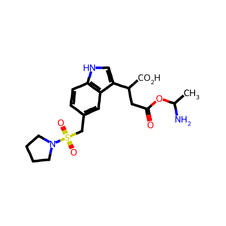 CC(N)OC(=O)CC(C(=O)O)c1c[nH]c2ccc(CS(=O)(=O)N3CCCC3)cc12